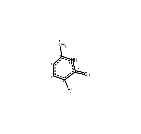 CCc1ccc(C)[nH]c1=O